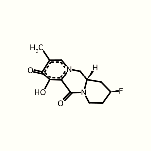 Cc1cn2c(c(O)c1=O)C(=O)N1CC[C@H](F)C[C@H]1C2